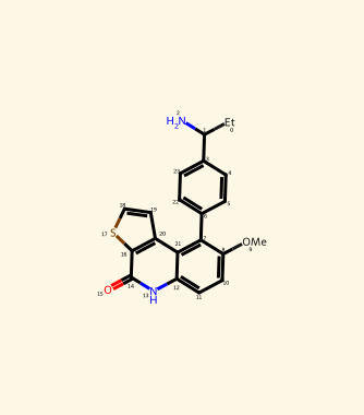 CCC(N)c1ccc(-c2c(OC)ccc3[nH]c(=O)c4sccc4c23)cc1